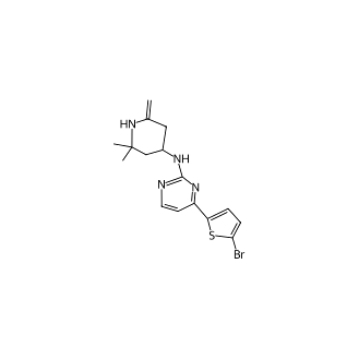 C=C1CC(Nc2nccc(-c3ccc(Br)s3)n2)CC(C)(C)N1